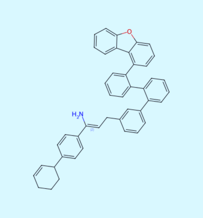 N/C(=C\Cc1cccc(-c2ccccc2-c2ccccc2-c2cccc3oc4ccccc4c23)c1)c1ccc(C2C=CCCC2)cc1